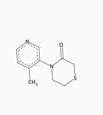 Cc1ccn[c]c1N1CCSCC1=O